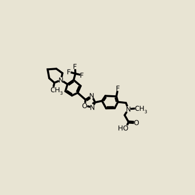 CC1CCCCN1c1ccc(-c2nc(-c3ccc(CN(C)CC(=O)O)c(F)c3)no2)cc1C(F)(F)F